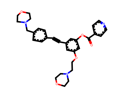 O=C(Oc1cc(C#Cc2ccc(CN3CCOCC3)cc2)cc(OCCN2CCOCC2)c1)c1ccncc1